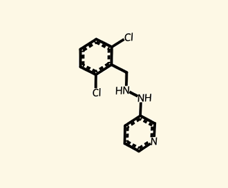 Clc1cccc(Cl)c1CNNc1cccnc1